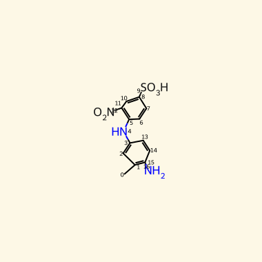 Cc1cc(Nc2ccc(S(=O)(=O)O)cc2[N+](=O)[O-])ccc1N